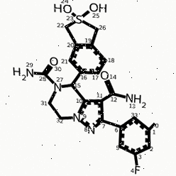 Cc1cc(F)cc(-c2nn3c(c2C(N)=O)C(c2ccc4c(c2)CS(O)(O)C4)N(C(N)=O)CC3)c1